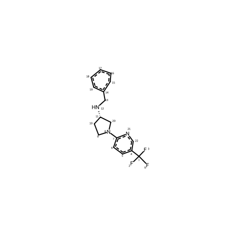 FC(F)(F)c1ccc(N2CC[C@H](NCc3ccccc3)C2)nc1